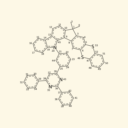 CC1(C)c2cc3c(cc2-c2c1ccc1c4ccccc4n(-c4cccc(-c5cc(-c6ccccc6)nc(-c6ccccc6)n5)c4)c21)Sc1ccccc1S3